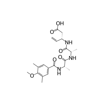 C=C[C@H](CC(=O)O)NC(=O)[C@H](C)NC(=O)[C@H](C)NC(=O)c1cc(C)c(OC)c(C)c1